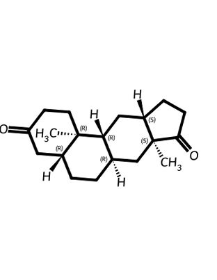 C[C@@]12CCC(=O)C[C@H]1CC[C@@H]1C[C@]3(C)C(=O)CC[C@H]3C[C@H]12